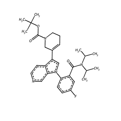 CC(C)N(C(=O)c1cc(F)ccc1-n1cc(C2=CCCN(C(=O)OC(C)(C)C)C2)c2ccncc21)C(C)C